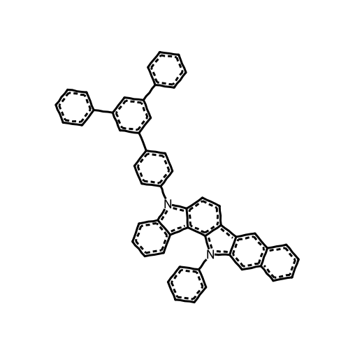 c1ccc(-c2cc(-c3ccccc3)cc(-c3ccc(-n4c5ccccc5c5c4ccc4c6cc7ccccc7cc6n(-c6ccccc6)c45)cc3)c2)cc1